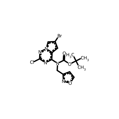 CC(C)(C)OC(=O)N(Cc1ccon1)c1nc(Cl)nn2cc(Br)cc12